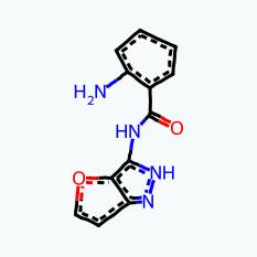 Nc1ccccc1C(=O)Nc1[nH]nc2ccoc12